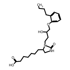 CCCCc1ccccc1OCC(O)CCN1C(=O)NCC1CCCCCCC(=O)O